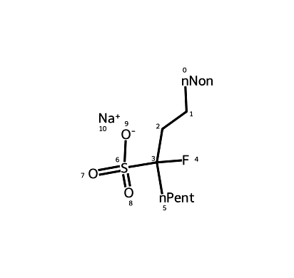 CCCCCCCCCCCC(F)(CCCCC)S(=O)(=O)[O-].[Na+]